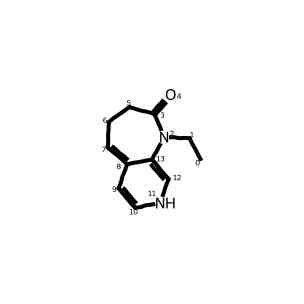 CCN1C(=O)CCC=C2C=CNC=C21